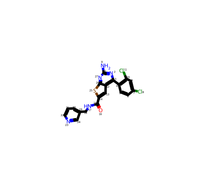 Nc1nc(-c2ccc(Cl)cc2Cl)c2cc(C(=O)NCc3cccnc3)sc2n1